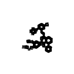 CC(C)(C)c1cc(NC(=O)C2C(c3ccccc3)CCCN2C(=O)/C=C/c2cc(Cl)ccc2-n2cnnn2)ccc1C(=O)O